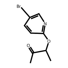 CC(=O)C(C)Oc1ccc(Br)cn1